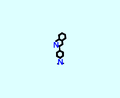 CN(C)c1ccc(-c2cc3ccccc3cn2)cc1